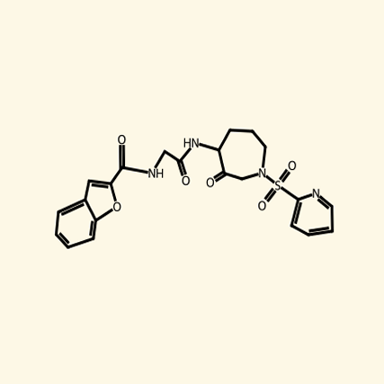 O=C(CNC(=O)c1cc2ccccc2o1)NC1CCCN(S(=O)(=O)c2ccccn2)CC1=O